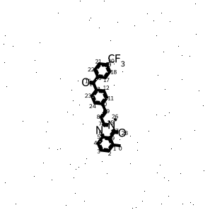 Cc1cccc2nc(C=Cc3ccc(C(=O)c4ccc(C(F)(F)F)cc4)cc3)n(C)c(=O)c12